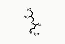 CCCCCCCCCC(CC)SCC(O)CO